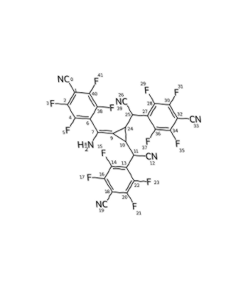 N#Cc1c(F)c(F)c(C(N)=C2C(C(C#N)c3c(F)c(F)c(C#N)c(F)c3F)C2C(C#N)c2c(F)c(F)c(C#N)c(F)c2F)c(F)c1F